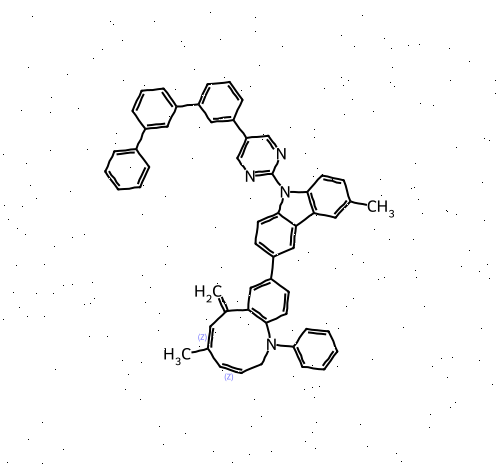 C=C1/C=C(C)\C=C/CN(c2ccccc2)c2ccc(-c3ccc4c(c3)c3cc(C)ccc3n4-c3ncc(-c4cccc(-c5cccc(-c6ccccc6)c5)c4)cn3)cc21